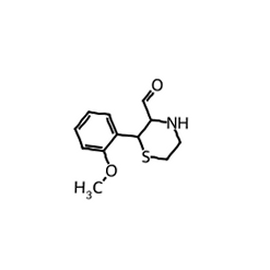 COc1ccccc1C1SCCNC1C=O